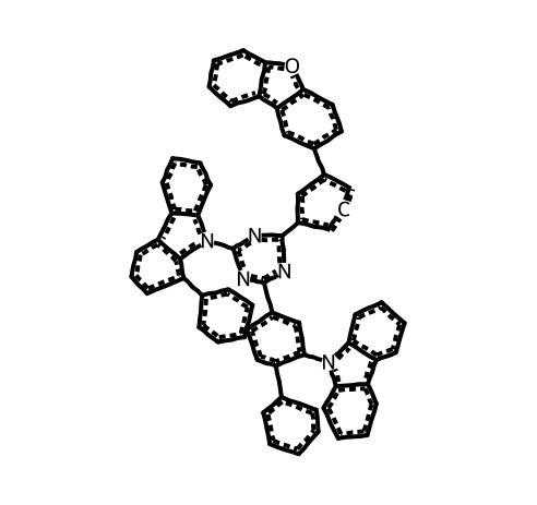 c1ccc(-c2ccc(-c3nc(-c4cccc(-c5ccc6oc7ccccc7c6c5)c4)nc(-n4c5ccccc5c5cccc(-c6ccccc6)c54)n3)cc2-n2c3ccccc3c3ccccc32)cc1